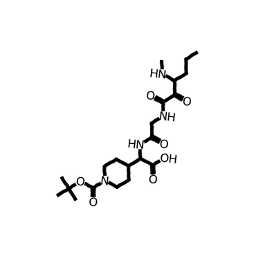 CCCC(NC)C(=O)C(=O)NCC(=O)NC(C(=O)O)C1CCN(C(=O)OC(C)(C)C)CC1